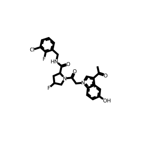 CC(=O)c1cn(CC(=O)N2CC(F)CC2C(=O)NCc2cccc(Cl)c2F)c2ccc(O)cc12